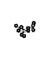 c1ccc(-n2c3ccccc3c3c(-c4nc(-c5cccc6ccccc56)nc(-c5cccc6c(-n7c8ccccc8c8cc9ccccc9cc87)cccc56)n4)cccc32)cc1